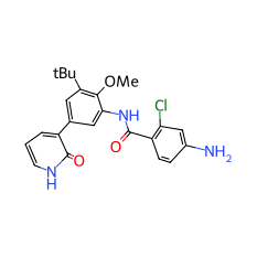 COc1c(NC(=O)c2ccc(N)cc2Cl)cc(-c2ccc[nH]c2=O)cc1C(C)(C)C